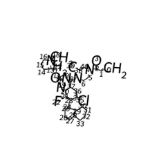 C=CC(=O)N1CCN(c2nc(OCC3CCCN3C)nc3c(F)c(-c4cccc5c4CCCC5)c(Cl)cc23)C(C)C1